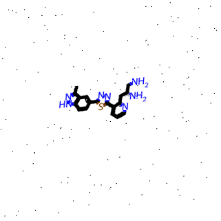 Cc1n[nH]c2ccc(-c3nnc(-c4cccnc4C[C@H](N)CN)s3)cc12